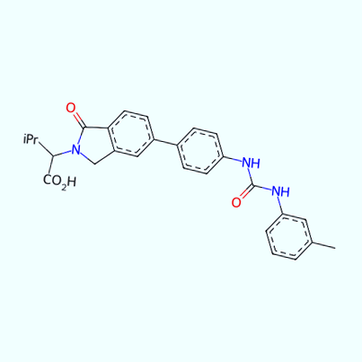 Cc1cccc(NC(=O)Nc2ccc(-c3ccc4c(c3)CN(C(C(=O)O)C(C)C)C4=O)cc2)c1